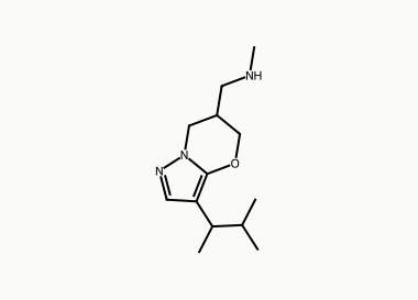 CNCC1COc2c(C(C)C(C)C)cnn2C1